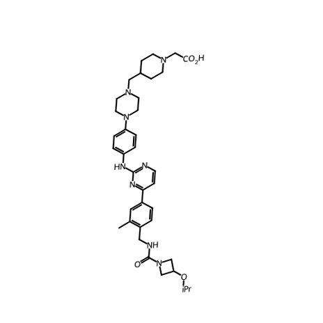 Cc1cc(-c2ccnc(Nc3ccc(N4CCN(CC5CCN(CC(=O)O)CC5)CC4)cc3)n2)ccc1CNC(=O)N1CC(OC(C)C)C1